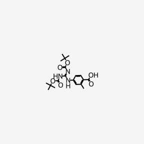 Cc1cc(NC(=NC(=O)OC(C)(C)C)NC(=O)OC(C)(C)C)ccc1C(=O)O